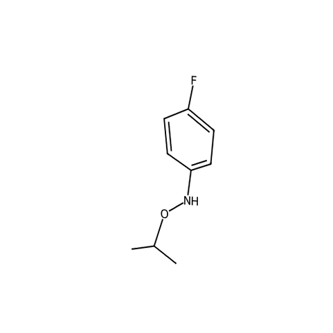 CC(C)ONc1ccc(F)cc1